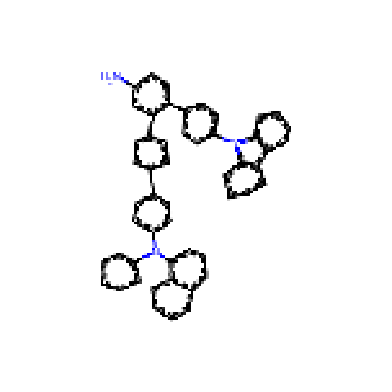 Nc1ccc(-c2ccc(-n3c4ccccc4c4ccccc43)cc2)c(-c2ccc(-c3ccc(N(c4ccccc4)c4cccc5ccccc45)cc3)cc2)c1